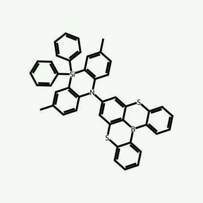 Cc1ccc2c(c1)[Si](c1ccccc1)(c1ccccc1)c1cc(C)ccc1N2c1cc2c3c(c1)Sc1ccccc1B3c1ccccc1S2